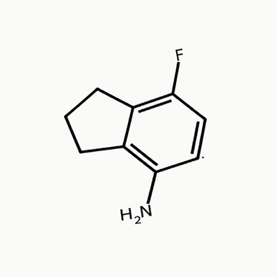 Nc1[c]cc(F)c2c1CCC2